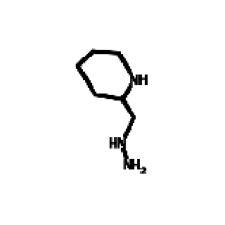 NNCC1CCCCN1